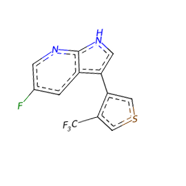 Fc1cnc2[nH]cc(-c3cscc3C(F)(F)F)c2c1